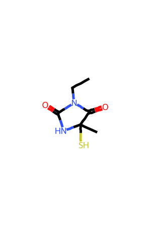 CCN1C(=O)NC(C)(S)C1=O